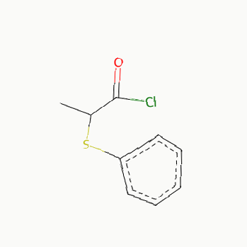 CC(Sc1ccccc1)C(=O)Cl